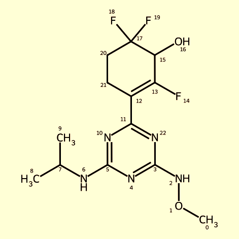 CONc1nc(NC(C)C)nc(C2=C(F)C(O)C(F)(F)CC2)n1